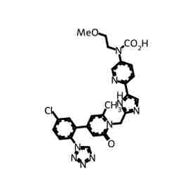 COCCN(C(=O)O)c1ccc(-c2cnc(Cn3c(C)cc(-c4cc(Cl)ccc4-n4cnnn4)cc3=O)[nH]2)nc1